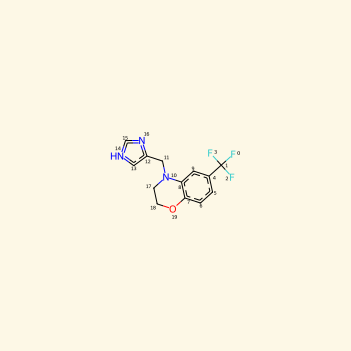 FC(F)(F)c1ccc2c(c1)N(Cc1c[nH]cn1)CCO2